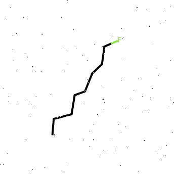 [CH]CCCCCC[CH]F